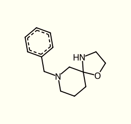 c1ccc(CN2CCCC3(C2)NCCO3)cc1